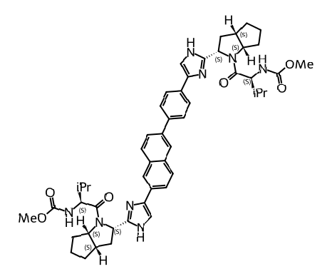 COC(=O)N[C@H](C(=O)N1[C@H](c2nc(-c3ccc(-c4ccc5cc(-c6c[nH]c([C@@H]7C[C@@H]8CCC[C@@H]8N7C(=O)[C@@H](NC(=O)OC)C(C)C)n6)ccc5c4)cc3)c[nH]2)C[C@@H]2CCC[C@@H]21)C(C)C